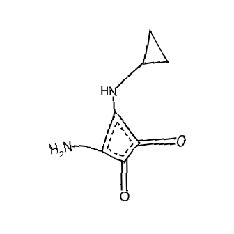 Nc1c(NC2CC2)c(=O)c1=O